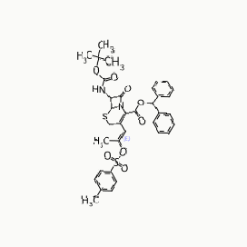 C/C(=C\C1=C(C(=O)OC(c2ccccc2)c2ccccc2)N2C(=O)C(NC(=O)OC(C)(C)C)C2SC1)OS(=O)(=O)c1ccc(C)cc1